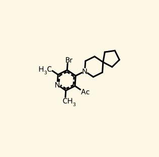 CC(=O)c1c(C)nc(C)c(Br)c1N1CCC2(CCCC2)CC1